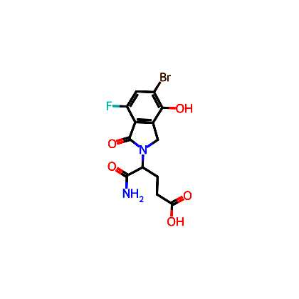 NC(=O)C(CCC(=O)O)N1Cc2c(O)c(Br)cc(F)c2C1=O